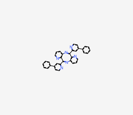 c1ccc(-c2ccnc(/C3=N/c4cccnc4/C(c4cc(-c5ccccc5)ccn4)=N\c4cccnc43)c2)cc1